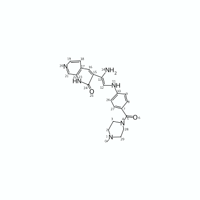 CN1CCN(C(=O)c2ccc(N/C=C(\N)c3cc4ccncc4[nH]c3=O)cc2)CC1